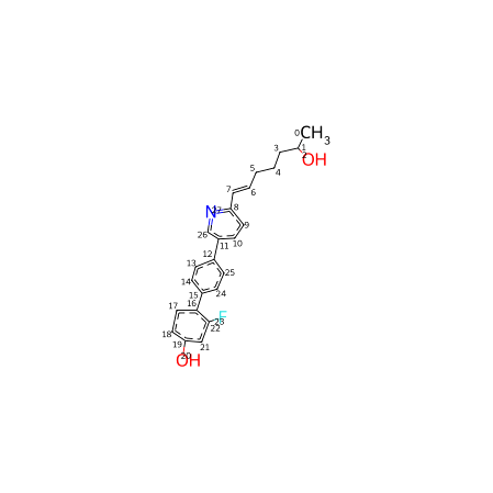 CC(O)CCCC=Cc1ccc(-c2ccc(-c3ccc(O)cc3F)cc2)cn1